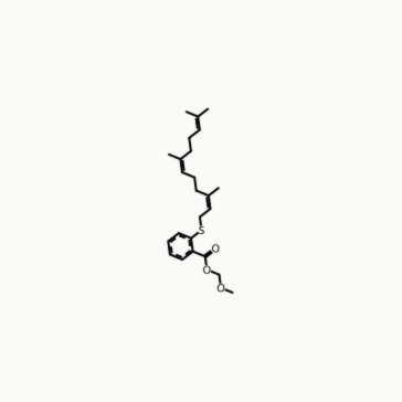 COCOC(=O)c1ccccc1SCC=C(C)CCC=C(C)CCC=C(C)C